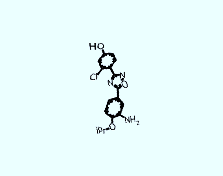 CC(C)Oc1ccc(-c2nc(-c3ccc(O)cc3Cl)no2)cc1N